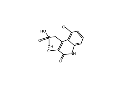 O=c1[nH]c2cccc(Cl)c2c(CP(=O)(O)O)c1Cl